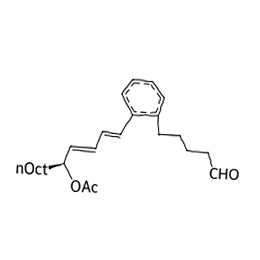 CCCCCCCC[C@@H](/C=C/C=C/c1ccccc1CCCCC=O)OC(C)=O